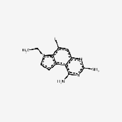 CCn1ccc2c3c(N)nc(N)nc3cc(I)c21